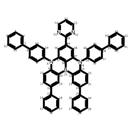 c1ccc(-c2ccc(N3c4ccc(-c5ccccc5)cc4B4c5cc(-c6ccccc6)ccc5N(c5ccc(-c6ccccc6)cc5)c5cc(-c6ncccn6)cc3c54)cc2)cc1